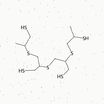 CC(S)CSC(CS)CSC(CS)CSC(C)CS